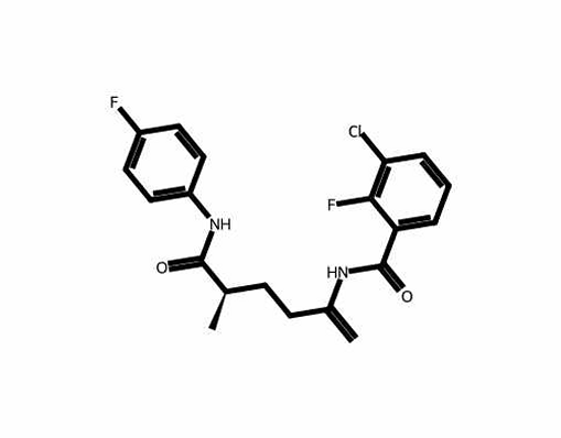 C=C(CC[C@@H](C)C(=O)Nc1ccc(F)cc1)NC(=O)c1cccc(Cl)c1F